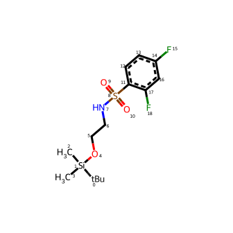 CC(C)(C)[Si](C)(C)OCCNS(=O)(=O)c1ccc(F)cc1F